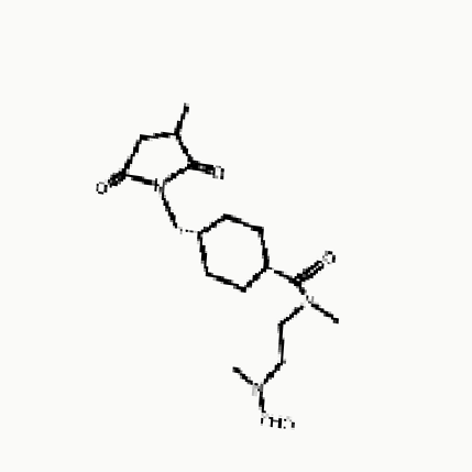 CC1CC(=O)N(C[C@H]2CC[C@H](C(=O)N(C)CCN(C)C=O)CC2)C1=O